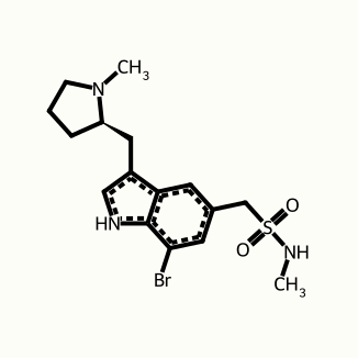 CNS(=O)(=O)Cc1cc(Br)c2[nH]cc(C[C@H]3CCCN3C)c2c1